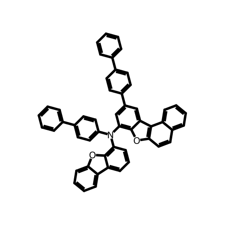 c1ccc(-c2ccc(-c3cc(N(c4ccc(-c5ccccc5)cc4)c4cccc5c4oc4ccccc45)c4oc5ccc6ccccc6c5c4c3)cc2)cc1